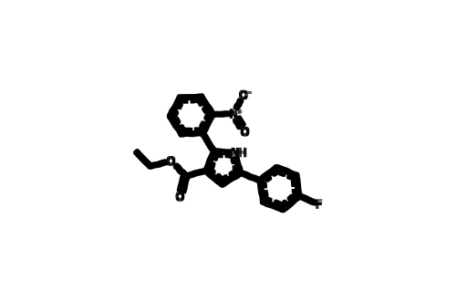 CCOC(=O)c1cc(-c2ccc(F)cc2)[nH]c1-c1ccccc1[N+](=O)[O-]